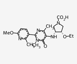 CCO[C@H]1CN(C(=O)O)C[C@H]1Nc1c(C)nc(-c2ccc(OC)nc2C)n(C)c1=O